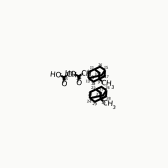 CC(=O)O.CC(=O)O.CC12CC3CC(CC(C3)C1)C2.CC12CC3CC(CC(C3)C1)C2